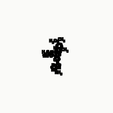 C=C(C)[C@H]1CC[C@@]2(C)SP(=S)(O[C@H]3C[C@H](n4cnc5c(N)ncnc54)O[C@@H]3CO[Si](C)(C)C(C)(C)C)O[C@@H]2C1